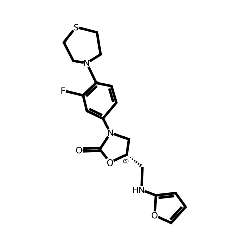 O=C1O[C@@H](CNc2ccco2)CN1c1ccc(N2CCSCC2)c(F)c1